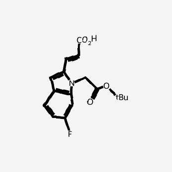 CC(C)(C)OC(=O)Cn1c(/C=C/C(=O)O)cc2ccc(F)cc21